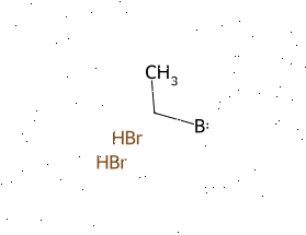 Br.Br.[B]CC